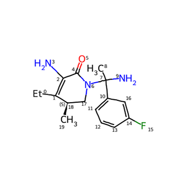 CCC1=C(N)C(=O)N(C(C)(N)c2cccc(F)c2)C[C@H]1C